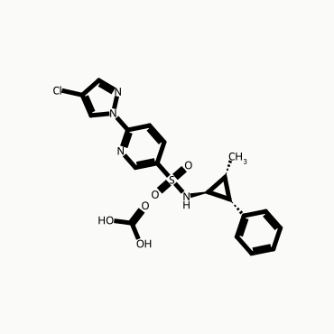 C[C@H]1[C@H](NS(=O)(=O)c2ccc(-n3cc(Cl)cn3)nc2)[C@H]1c1ccccc1.O=C(O)O